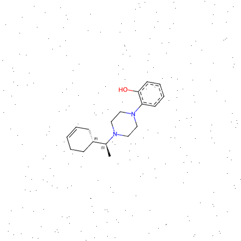 C[C@@H]([C@H]1CC=CCC1)N1CCN(c2ccccc2O)CC1